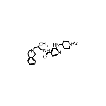 CC(=O)N1CCC(Nc2cc(C(=O)NCC(C)CN3CCc4ccccc4C3)ccn2)CC1